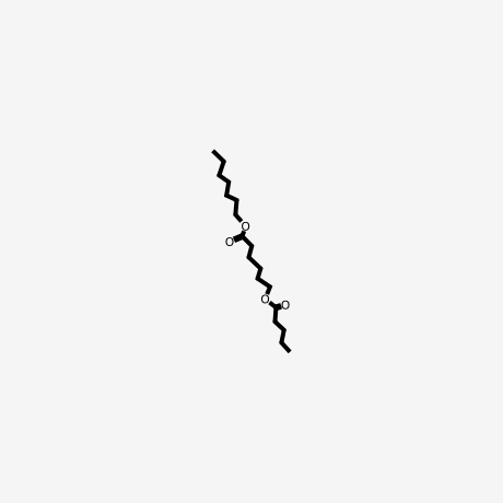 CCCCCCCOC(=O)CCCCCOC(=O)CCCC